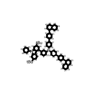 CC(C)(C)c1ccc2c3c(-c4cccc(N(C5=CCC(c6ccc(-c7cccc8ccccc78)cc6)C=C5)c5ccc(-c6ccc(-c7cccc8ccccc78)cc6)cc5)c4)cc(C(C)(C)C)cc3n(-c3ccccc3)c2c1